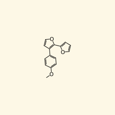 COc1ccc(-c2ccoc2-c2ccco2)cc1